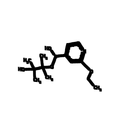 CCOc1cc(B(O)OC(C)(C)C(C)(C)O)ccn1